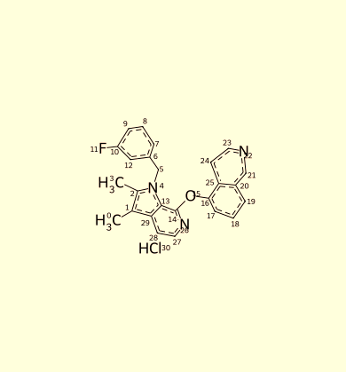 Cc1c(C)n(Cc2cccc(F)c2)c2c(Oc3cccc4cnccc34)nccc12.Cl